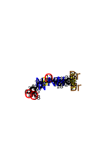 COc1ccc(-c2cnc(SCC(=O)NCC3CCCN(Cc4ccc(SBr)c(SBr)c4)C3)nc2)cc1OC